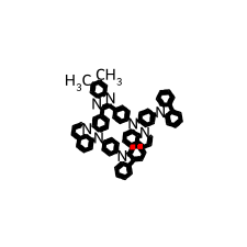 Cc1cc2nc(-c3ccc(N(c4ccc(-n5c6ccccc6c6ccccc65)cc4)c4cccc5cccnc45)cc3)c(-c3ccc(N(c4ccc(-n5c6ccccc6c6ccccc65)cc4)c4cccc5cccnc45)cc3)nc2cc1C